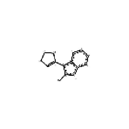 Cc1sc2ccccc2c1C1=CCCC1